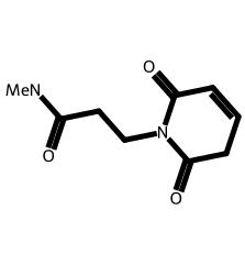 CNC(=O)CCN1C(=O)C=CCC1=O